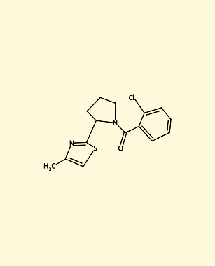 Cc1csc(C2CCCN2C(=O)c2ccccc2Cl)n1